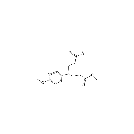 COC(=O)CCC(CCC(=O)OC)c1ccc(OC)nc1